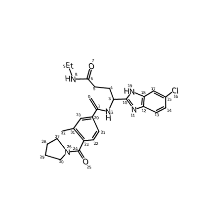 C=C(NC(CCC(=O)NCC)c1nc2ccc(Cl)cc2[nH]1)c1ccc(C(=O)N2CCCC2)c(C)c1